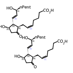 CCCCC[C@H](O)/C=C/[C@H]1[C@H](O)CC(=O)[C@@H]1C/C=C\CCCC(=O)O.CCCCC[C@H](O)/C=C/[C@H]1[C@H](O)CC(=O)[C@@H]1C/C=C\CCCC(=O)O